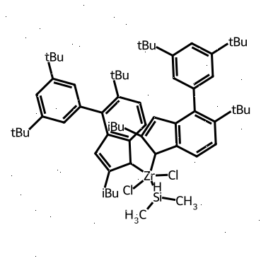 CCC(C)C1=Cc2c(ccc(C(C)(C)C)c2-c2cc(C(C)(C)C)cc(C(C)(C)C)c2)[CH]1[Zr]([Cl])([Cl])([CH]1C(C(C)CC)=Cc2c1ccc(C(C)(C)C)c2-c1cc(C(C)(C)C)cc(C(C)(C)C)c1)[SiH](C)C